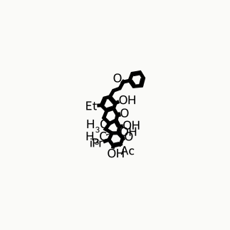 CCc1cc(CCC(=O)c2ccccc2)c(O)c2c1C[C@]1(C)C[C@]3(C)C(C(C)C)C(O)=C(C(C)=O)C(=O)[C@]3(O)C(O)=C1C2=O